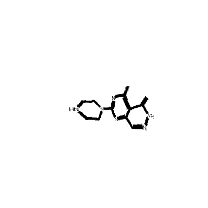 C=C1NN=Cc2nc(N3CCNCC3)nc(C)c21